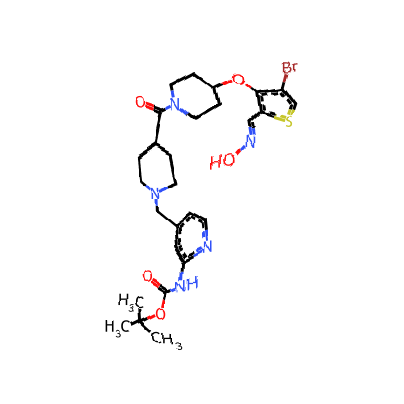 CC(C)(C)OC(=O)Nc1cc(CN2CCC(C(=O)N3CCC(Oc4c(Br)csc4/C=N/O)CC3)CC2)ccn1